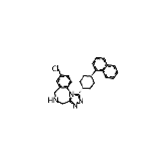 Clc1ccc2c(c1)CNCc1nnc([C@H]3CC[C@H](c4cccc5ccccc54)CC3)n1-2